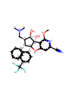 COc1nc(C#N)cc2c1[C@]1(O)[C@H](O)[C@H](CN(C)C)[C@@H](c3ccccc3)[C@]1(c1ccc(C(F)(F)F)cc1)O2